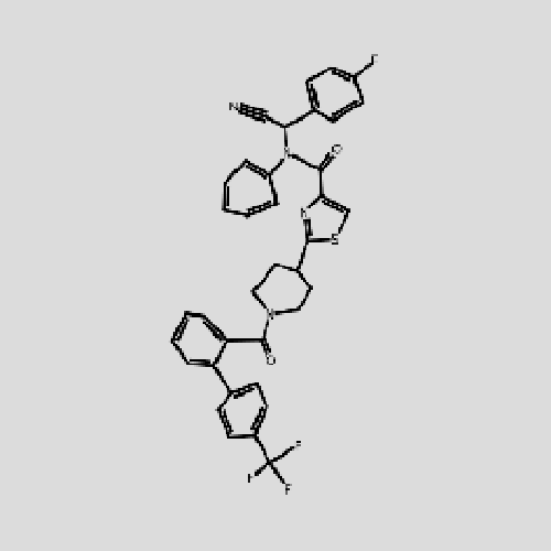 N#CC(c1ccc(F)cc1)N(C(=O)c1csc(C2CCN(C(=O)c3ccccc3-c3ccc(C(F)(F)F)cc3)CC2)n1)c1ccccc1